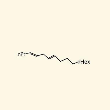 [CH2]CCC=CCC=CCCCCCCCCC